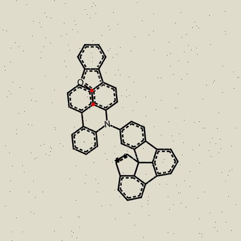 c1ccc(-c2ccccc2N(c2ccc3c(c2)C24c5ccccc5-c5cccc(c52)-c2cccc-3c24)c2ccc3c(c2)oc2ccccc23)cc1